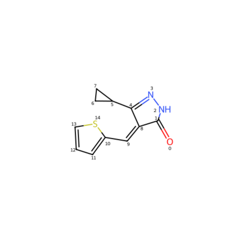 O=C1NN=C(C2CC2)C1=Cc1cccs1